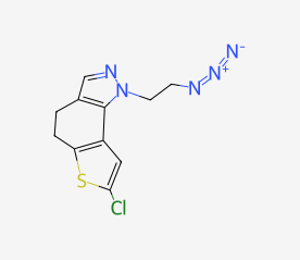 [N-]=[N+]=NCCn1ncc2c1-c1cc(Cl)sc1CC2